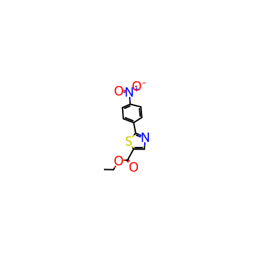 CCOC(=O)c1cnc(-c2ccc([N+](=O)[O-])cc2)s1